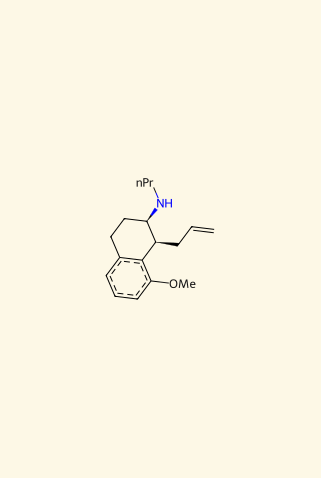 C=CC[C@H]1c2c(cccc2OC)CC[C@H]1NCCC